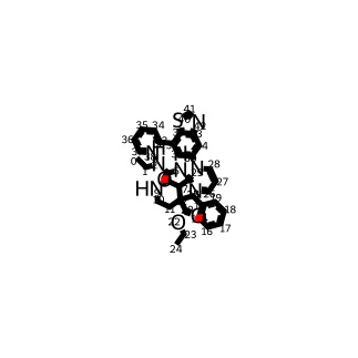 CCNC(=O)NC1(C2CNCCC2(Cc2ccccc2)C(=O)OCC)N=CC=CN1c1cc(-c2ccccn2)c2scnc2c1